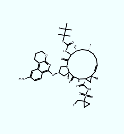 CC[C@@H]1C[C@H](C)CC/C=C\[C@@H]2C[C@@]2(C(=O)NS(=O)(=O)C2(CF)CC2)NC(=O)[C@@H]2C[C@@H](Oc3nc4c(c5cc(OC)ccc35)CCCO4)CN2C(=O)[C@H]1NC(=O)OC(C)(C)C(C)(F)F